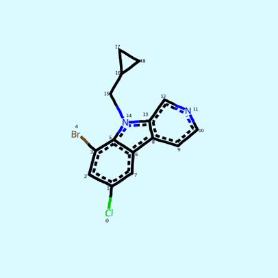 Clc1cc(Br)c2c(c1)c1ccncc1n2CC1CC1